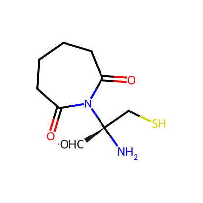 N[C@@]([C]=O)(CS)N1C(=O)CCCCC1=O